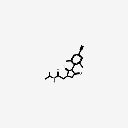 C#Cc1cc(C)c(C2C(=O)CC(CC(=O)NC(C)C)C2=O)c(C)c1